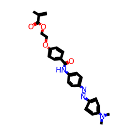 C=C(C)C(=O)OCCOc1ccc(C(=O)Nc2ccc(/N=N/c3ccc(N(C)C)cc3)cc2)cc1